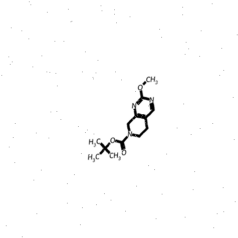 COc1ncc2c(n1)CN(C(=O)OC(C)(C)C)CC2